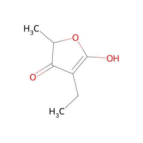 CCC1=C(O)OC(C)C1=O